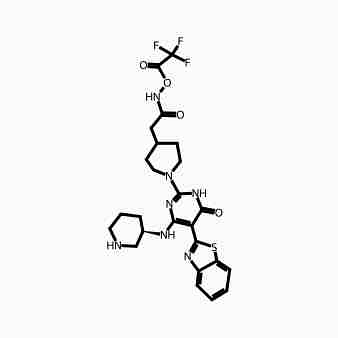 O=C(CC1CCN(c2nc(N[C@@H]3CCCNC3)c(-c3nc4ccccc4s3)c(=O)[nH]2)CC1)NOC(=O)C(F)(F)F